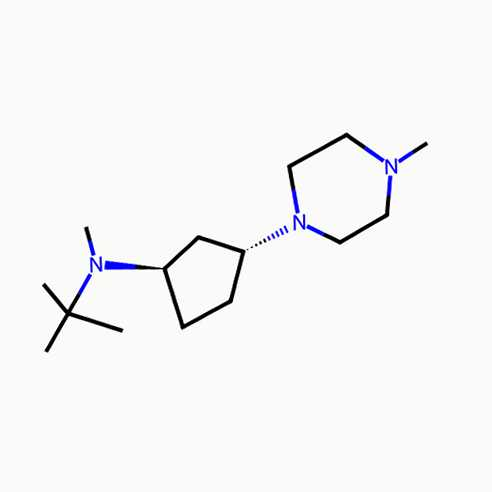 CN1CCN([C@@H]2CC[C@@H](N(C)C(C)(C)C)C2)CC1